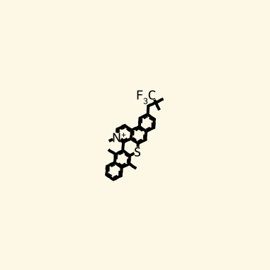 Cc1c2c(c(C)c3ccccc13)-c1c3c(cc4ccc(CC(C)(C)C(F)(F)F)cc4c3cc[n+]1C)S2